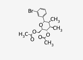 CC(=O)OC[C@H]1OC(c2cccc(Br)c2)[C@@H](C)[C@@H](C)[C@@H]1OC(C)=O